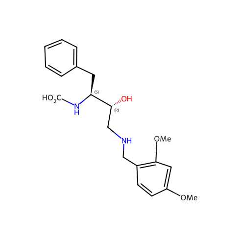 COc1ccc(CNC[C@@H](O)[C@H](Cc2ccccc2)NC(=O)O)c(OC)c1